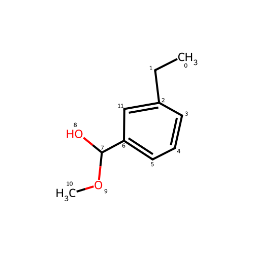 CCc1cccc(C(O)OC)c1